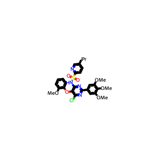 COc1ccccc1Oc1c(Cl)nc(-c2cc(OC)c(OC)c(OC)c2)nc1NS(=O)(=O)c1ccc(C(C)C)cn1